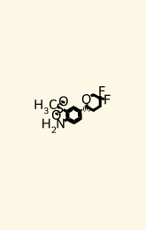 CS(=O)(=O)c1cc([C@H]2CCC(F)(F)CO2)ccc1N